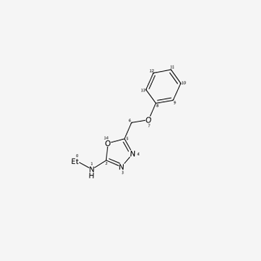 CCNc1nnc(COc2ccccc2)o1